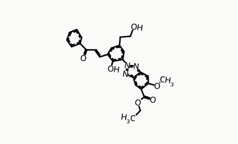 CCOC(=O)c1cc2nn(-c3cc(CCO)cc(C=CC(=O)c4ccccc4)c3O)nc2cc1OC